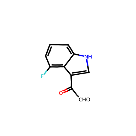 O=CC(=O)c1c[nH]c2cccc(F)c12